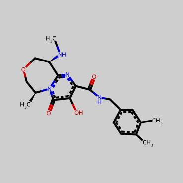 CN[C@@H]1COC[C@H](C)n2c1nc(C(=O)NCc1ccc(C)c(C)c1)c(O)c2=O